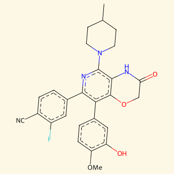 COc1ccc(-c2c(-c3ccc(C#N)c(F)c3)nc(N3CCC(C)CC3)c3c2OCC(=O)N3)cc1O